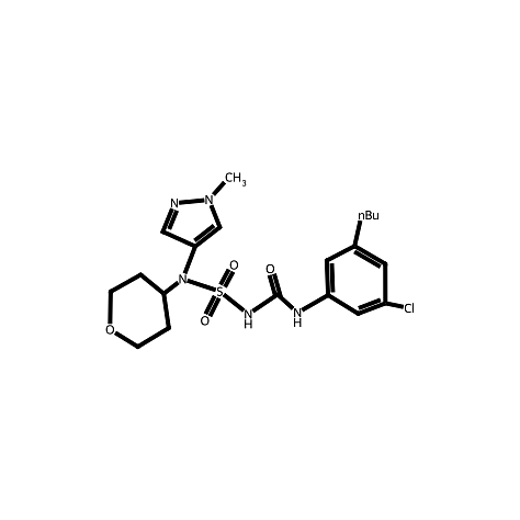 CCCCc1cc(Cl)cc(NC(=O)NS(=O)(=O)N(c2cnn(C)c2)C2CCOCC2)c1